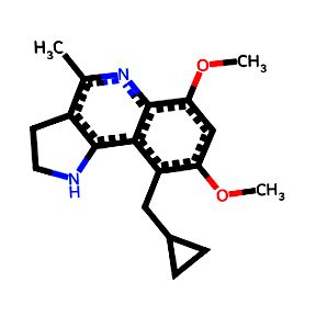 COc1cc(OC)c2nc(C)c3c(c2c1CC1CC1)NCC3